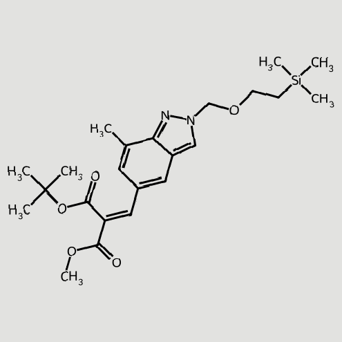 COC(=O)C(=Cc1cc(C)c2nn(COCC[Si](C)(C)C)cc2c1)C(=O)OC(C)(C)C